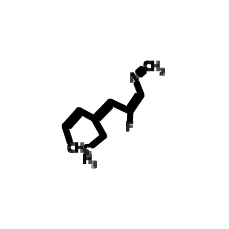 C=N\C=C(F)/C=C(/C=C\C)CC